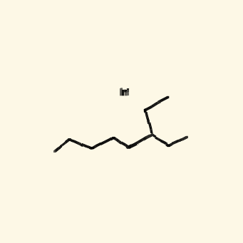 CCCCCC(CC)CC.[In]